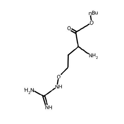 CCCCOC(=O)C(N)CCONC(=N)N